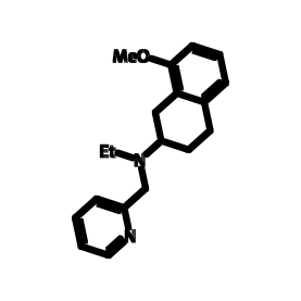 CCN(Cc1ccccn1)C1CCc2cccc(OC)c2C1